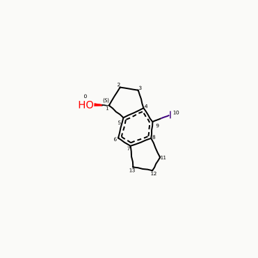 O[C@H]1CCc2c1cc1c(c2I)CCC1